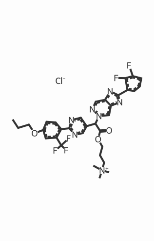 CCCOc1ccc(-c2ncc(C(C(=O)OCCC[N+](C)(C)C)n3cc4nc(-c5cccc(F)c5F)nc-4cn3)cn2)c(C(F)(F)F)c1.[Cl-]